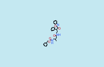 CC(CNC(=O)OCc1ccccc1)CC(=O)NCCC(C(=O)c1nc2ccccc2o1)c1ccccc1